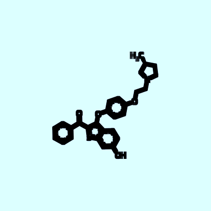 C[C@H]1CCN(CCOc2ccc(Oc3c(C(=O)c4ccccc4)sc4cc(O)ccc34)cc2)C1